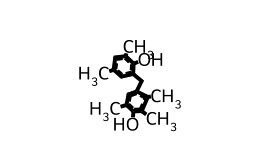 Cc1cc(C)c(O)c(Cc2cc(C)c(O)c(C)c2C)c1